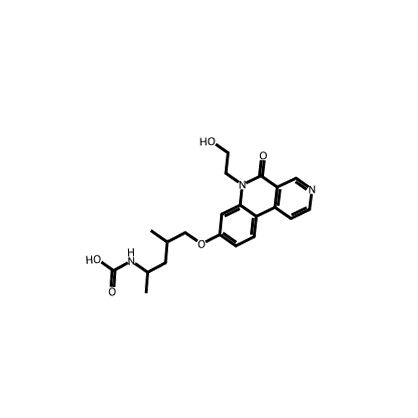 CC(COc1ccc2c3ccncc3c(=O)n(CCO)c2c1)CC(C)NC(=O)O